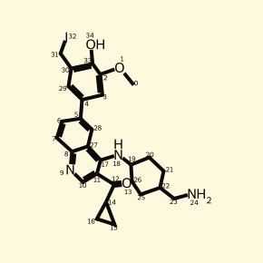 COc1cc(-c2ccc3ncc(C(=O)C4CC4)c(NC4CCC(CN)CC4)c3c2)cc(CI)c1O